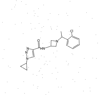 CC(c1ccccc1Cl)N1CC(NC(=O)c2cn(C3CC3)nn2)C1